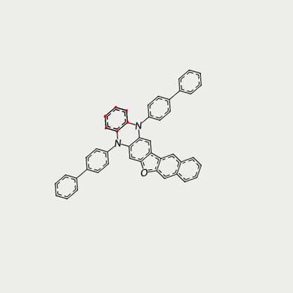 c1ccc(-c2ccc(N(c3ccccc3)c3cc4oc5cc6ccccc6cc5c4cc3N(c3ccccc3)c3ccc(-c4ccccc4)cc3)cc2)cc1